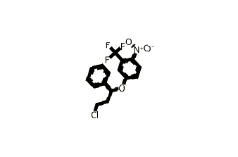 O=[N+]([O-])c1ccc(OC(CCCl)c2ccccc2)cc1C(F)(F)F